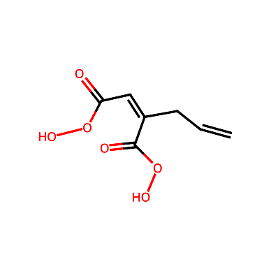 C=CCC(=CC(=O)OO)C(=O)OO